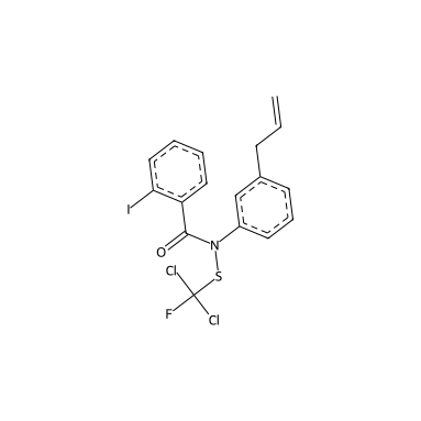 C=CCc1cccc(N(SC(F)(Cl)Cl)C(=O)c2ccccc2I)c1